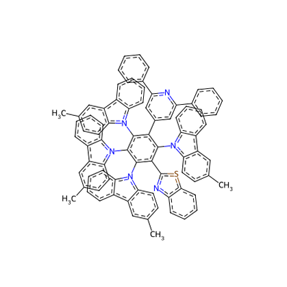 Cc1ccc2c(c1)c1ccccc1n2-c1c(-c2cc(-c3ccccc3)nc(-c3ccccc3)c2)c(-n2c3ccccc3c3cc(C)ccc32)c(-n2c3ccccc3c3cc(C)ccc32)c(-n2c3ccccc3c3cc(C)ccc32)c1-c1nc2ccccc2s1